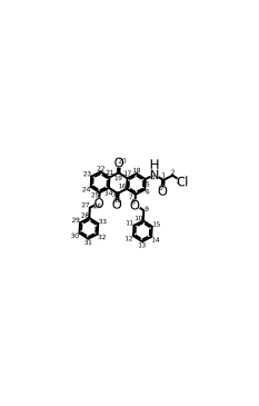 O=C(CCl)Nc1cc(OCc2ccccc2)c2c(c1)C(=O)c1cccc(OCc3ccccc3)c1C2=O